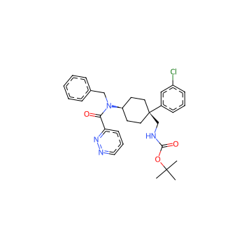 CC(C)(C)OC(=O)NC[C@]1(c2cccc(Cl)c2)CC[C@H](N(Cc2ccccc2)C(=O)c2cccnn2)CC1